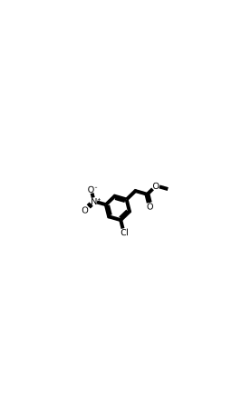 COC(=O)Cc1cc(Cl)cc([N+](=O)[O-])c1